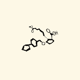 COC(=O)CC/C=C\C[C@H]1[C@@H](OCc2ccc(-c3ccccc3)cc2)CC[C@@H]1C(=O)O